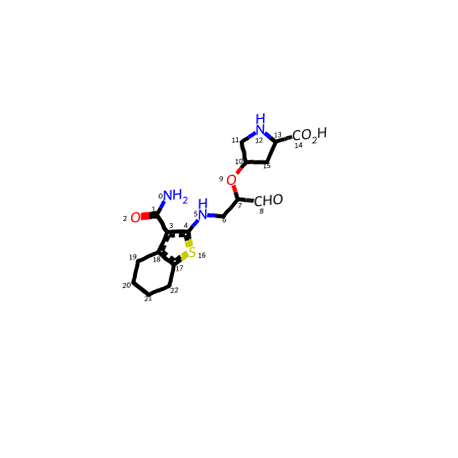 NC(=O)c1c(NCC(C=O)OC2CNC(C(=O)O)C2)sc2c1CCCC2